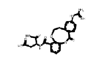 N=C(N)Nc1ccc2c(c1)CCOc1c(cccc1C(=O)NC(CC(=O)O)C(=O)O)OC2=O